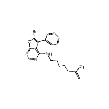 C=C(O)CCCCCNc1ncnc2oc(Br)c(-c3ccccc3)c12